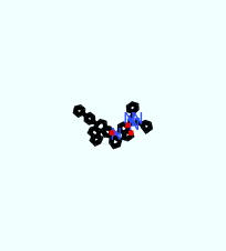 c1ccc(-c2ccc(C3CCc4cc5c(cc4-c4c3ccc3ccccc43)c3ccccc3n5-c3ccc(-c4nc(-c5ccccc5)nc(-c5ccccc5)n4)c4ccccc34)cc2)cc1